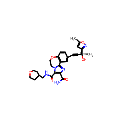 Cc1cc([C@](C)(O)C#Cc2ccc3c(c2)-c2nc(C(N)=O)c(C(=O)NCC4CCOCC4)n2CCO3)no1